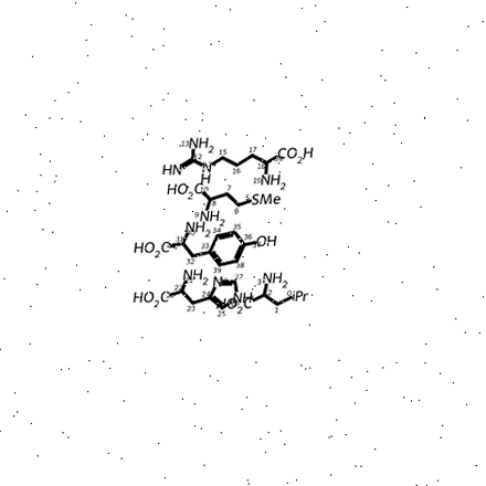 CC(C)CC(N)C(=O)O.CSCCC(N)C(=O)O.N=C(N)NCCCC(N)C(=O)O.NC(Cc1c[nH]cn1)C(=O)O.NC(Cc1ccc(O)cc1)C(=O)O